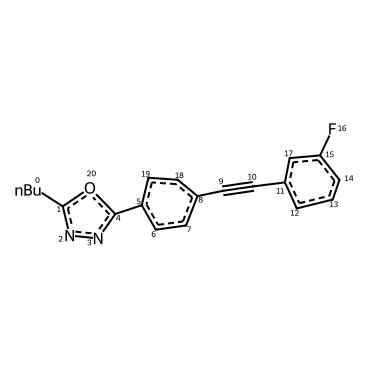 CCCCc1nnc(-c2ccc(C#Cc3cccc(F)c3)cc2)o1